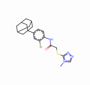 Cn1cnnc1SCC(=O)Nc1ccc(C23CC4CC(CC(C4)C2)C3)cc1Br